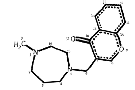 CN1CCCN(Cc2coc3ccccc3c2=O)CC1